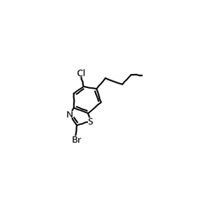 CCCCc1cc2sc(Br)nc2cc1Cl